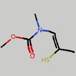 COC(=O)N(C)/C=C(/C)S